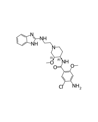 COc1cc(N)c(Cl)cc1C(=O)N[C@@H]1CCN(CCNc2nc3ccccc3[nH]2)C[C@@H]1OC